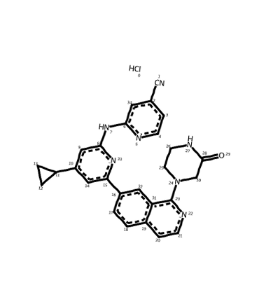 Cl.N#Cc1ccnc(Nc2cc(C3CC3)cc(-c3ccc4ccnc(N5CCNC(=O)C5)c4c3)n2)c1